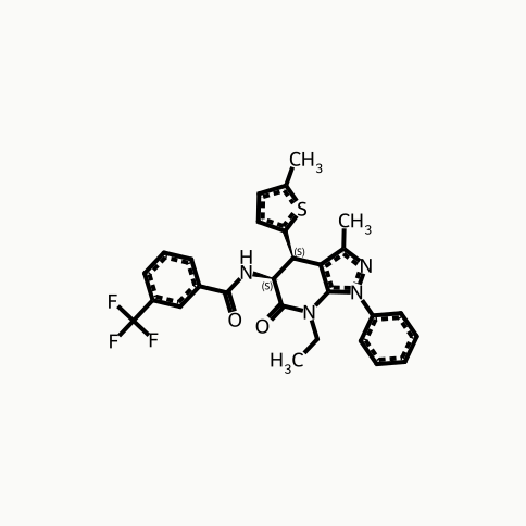 CCN1C(=O)[C@@H](NC(=O)c2cccc(C(F)(F)F)c2)[C@@H](c2ccc(C)s2)c2c(C)nn(-c3ccccc3)c21